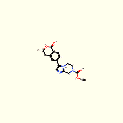 C[C@H]1Cc2cc(-c3cnc4n3CCN(C(=O)OC(C)(C)C)C4)ccc2C(=O)O1